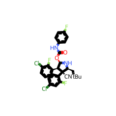 CC(C)(C)C[C@@H]1N[C@H](OC(=O)Nc2ccc(F)cc2)[C@H](c2cccc(Cl)c2F)[C@@]1(C#N)c1ccc(Cl)cc1F